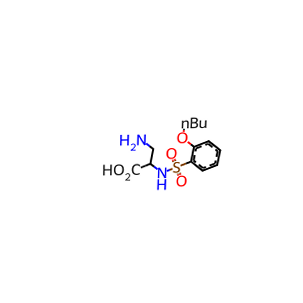 CCCCOc1ccccc1S(=O)(=O)NC(CN)C(=O)O